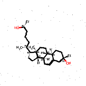 CC[C@@H](O)CCC[C@@H](C)[C@H]1CC[C@H]2[C@@H]3CC=C4C[C@](O)(CC)CC[C@@H]4[C@H]3CC[C@]12C